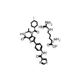 CC(C)N(c1cc(-c2ccc(NC(=O)c3cscn3)cc2)sc1C(=O)O)C(=O)[C@H]1CC[C@H](C)CC1.N=C(N)NCCC[C@H](N)C(=O)O